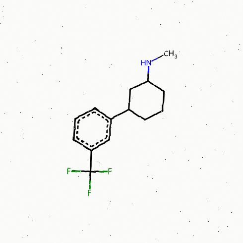 CNC1CCCC(c2cccc(C(F)(F)F)c2)C1